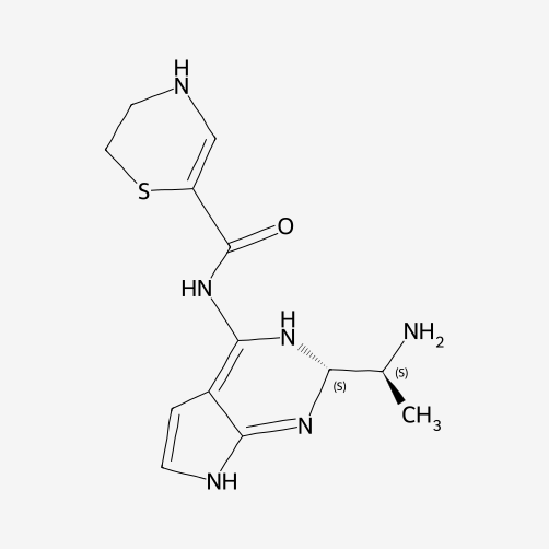 C[C@H](N)[C@@H]1N=c2[nH]ccc2=C(NC(=O)C2=CNCCS2)N1